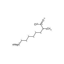 CCCCCCCCCCCCCC(C)C(=O)Cl